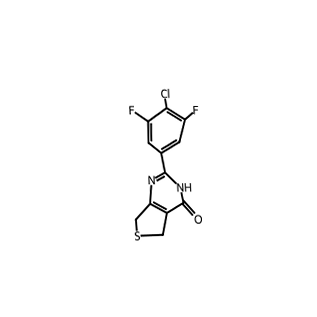 O=c1[nH]c(-c2cc(F)c(Cl)c(F)c2)nc2c1CSC2